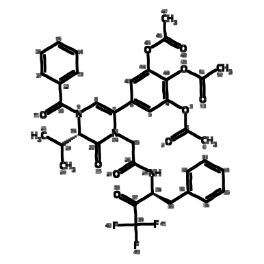 CC(=O)Oc1cc(C2=CN(C(=O)c3ccccc3)[C@@H](C(C)C)C(=O)N2CC(=O)N[C@@H](Cc2ccccc2)C(=O)C(F)(F)F)cc(OC(C)=O)c1OC(C)=O